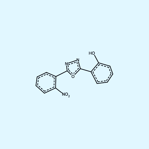 O=[N+]([O-])c1ccccc1-c1nnc(-c2ccccc2O)o1